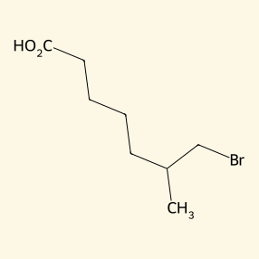 CC(CBr)CCCCC(=O)O